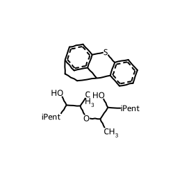 CCCC(C)C(O)C(C)OC(C)C(O)C(C)CCC.c1ccc2c(c1)Sc1ccc3cc1C2CC3